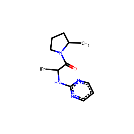 CC(C)C(Nc1ncccn1)C(=O)N1CCCC1C